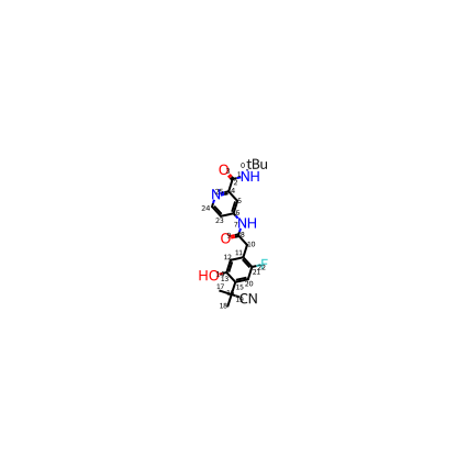 CC(C)(C)NC(=O)c1cc(NC(=O)Cc2cc(O)c(C(C)(C)C#N)cc2F)ccn1